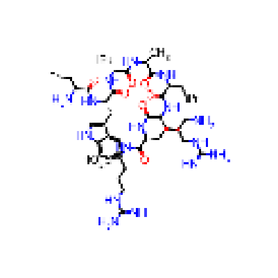 CC[C@H](C)[C@H](NC(=O)[C@H](Cc1c[nH]c2ccccc12)NC(=O)[C@@H](N)CC(C)C)C(=O)N[C@@H](C)C(=O)N[C@@H](CC(C)C)C(=O)N[C@@H](CCCNC(=N)N)C(=O)N[C@@H](CCCCN)C(=O)N[C@@H](CCCNC(=N)N)C(=O)O